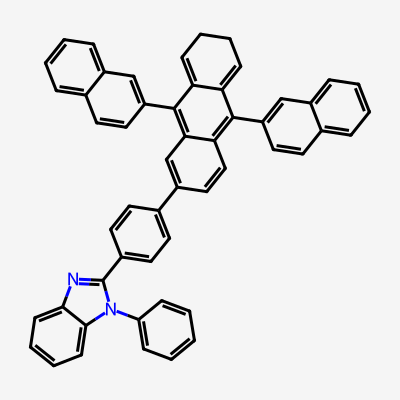 C1=c2c(-c3ccc4ccccc4c3)c3ccc(-c4ccc(-c5nc6ccccc6n5-c5ccccc5)cc4)cc3c(-c3ccc4ccccc4c3)c2=CCC1